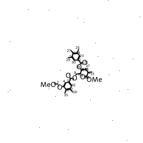 COCOc1cc(C(=O)OCC2O[C@@H](OC)C(C)[C@@H](C)[C@@H]2OC(=O)c2cc(C)c(C)c(C)c2)cc(C)c1C